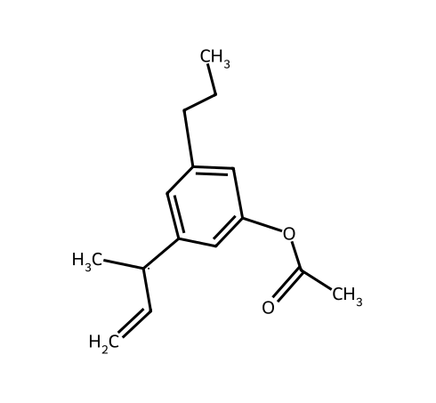 C=C[C](C)c1cc(CCC)cc(OC(C)=O)c1